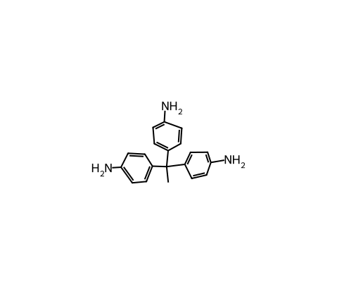 CC(c1ccc(N)cc1)(c1ccc(N)cc1)c1ccc(N)cc1